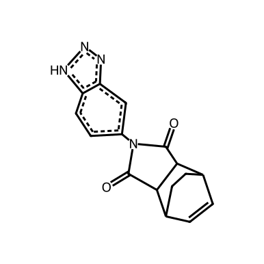 O=C1C2C3C=CC(CC3)C2C(=O)N1c1ccc2[nH]nnc2c1